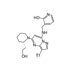 CCc1cnn2c(NCc3cccnc3O)cc(N3CCCC[C@H]3CCO)nc12